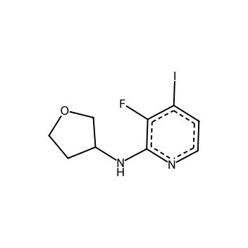 Fc1c(I)ccnc1NC1CCOC1